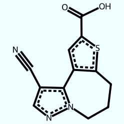 N#Cc1cnn2c1-c1cc(C(=O)O)sc1CCC2